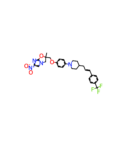 CC1(COc2ccc(N3CCC(CC=Cc4ccc(C(F)(F)F)cc4)CC3)cc2)Cn2cc([N+](=O)[O-])nc2O1